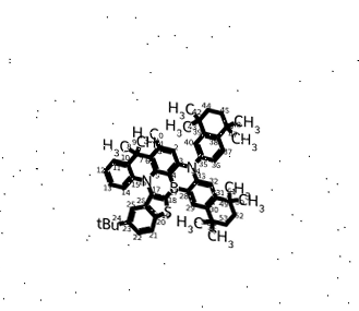 Cc1cc2c3c4c1C(C)(C)c1ccccc1N4c1c(sc4ccc(C(C)(C)C)cc14)B3c1cc3c(cc1N2c1ccc2c(c1)C(C)(C)CCC2(C)C)C(C)(C)CCC3(C)C